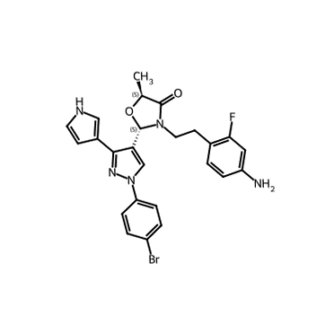 C[C@@H]1O[C@@H](c2cn(-c3ccc(Br)cc3)nc2-c2cc[nH]c2)N(CCc2ccc(N)cc2F)C1=O